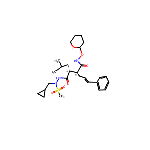 CC(C)C[C@@H](C(=O)NN(CC1CC1)S(C)(=O)=O)[C@H](CC=Cc1ccccc1)C(=O)NOC1CCCCO1